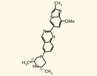 COc1cc(-c2ncc3cc(N4C[C@H](C)N[C@@H](C)C4)ccc3n2)cn2cc(C)nc12